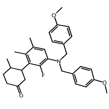 COc1ccc(CN(Cc2ccc(OC)cc2)c2cc(C)c(C)c(C3CC(=O)CCC3C)c2F)cc1